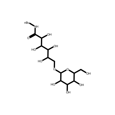 CCCCNC(=O)C(O)C(O)C(O)C(O)COC1OC(CO)C(O)C(O)C1O